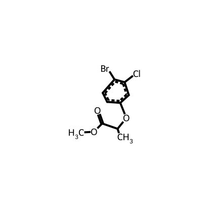 COC(=O)C(C)Oc1ccc(Br)c(Cl)c1